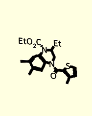 CCOC(=O)N1c2cc(C)c(C)cc2N(C(=O)c2sccc2C)CC1CC